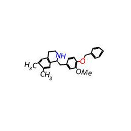 COc1cc(C[C@@H]2NCCc3cc(C)c(C)cc32)ccc1OCc1ccccc1